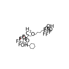 C=C(COCCCCC(F)(F)C(F)(F)S(=O)(=O)O)C(=O)OC(CC1CCCCC1)C(O)(C(F)(F)F)C(F)(F)F